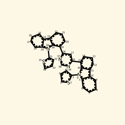 c1csc(-n2c3ccccc3c3cccc(-c4cc(-c5cccc6c7ccccc7n(-c7cccs7)c56)ncn4)c32)c1